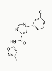 Cc1cc(NC(=O)c2cc(-c3cccc(Cl)c3)ncn2)on1